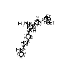 CCOP(=O)(CCN1CCN(c2nc(N)nc(NCC3CCC(CNCCCNC4CCCCC4)CC3)n2)C[C@H]1C)OCC